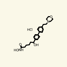 Cl.O=C(CCCCC(O)c1ccc(-c2ccc(CCN3CCOCC3)cc2)cc1)NO